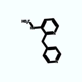 O=C(O)Nc1cccnc1Cc1ccncc1